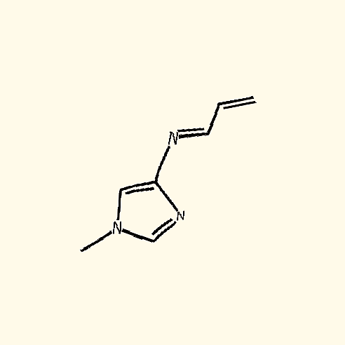 C=C/C=N/c1cn(C)cn1